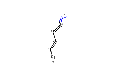 CCC=CC=C=N